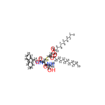 CCCCCCCCCCCC(=O)OC[C@H](CSC[C@H](NC(=O)OCC1c2ccccc2-c2ccccc21)C(=O)NC1(CO)CC1)OC(=O)CCCCCCCCCCC